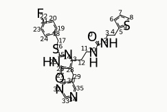 O=C(NCCc1cccs1)NCCc1nc(SCc2ccc(F)cc2)[nH]c(=O)c1Cc1cncnc1